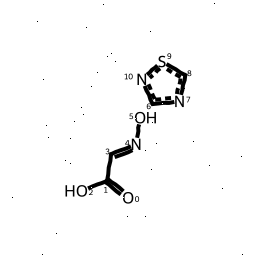 O=C(O)C=NO.c1ncsn1